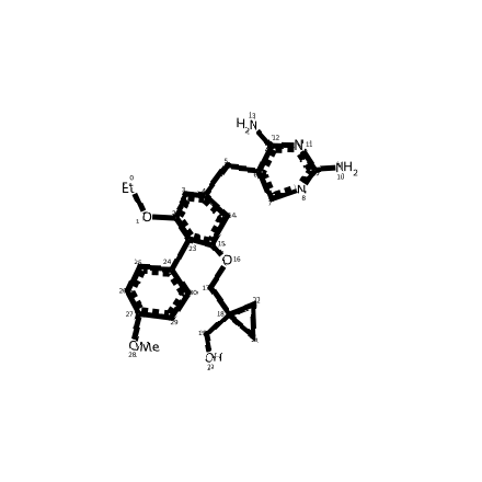 CCOc1cc(Cc2cnc(N)nc2N)cc(OCC2(CO)CC2)c1-c1ccc(OC)cc1